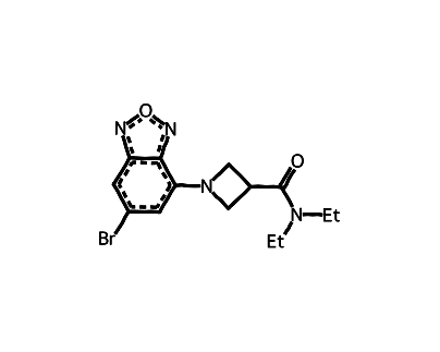 CCN(CC)C(=O)C1CN(c2cc(Br)cc3nonc23)C1